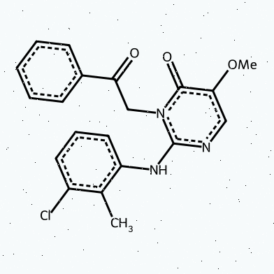 COc1cnc(Nc2cccc(Cl)c2C)n(CC(=O)c2ccccc2)c1=O